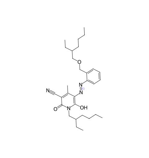 CCCCC(CC)COCc1ccccc1/N=N/c1c(C)c(C#N)c(=O)n(CC(CC)CCCC)c1O